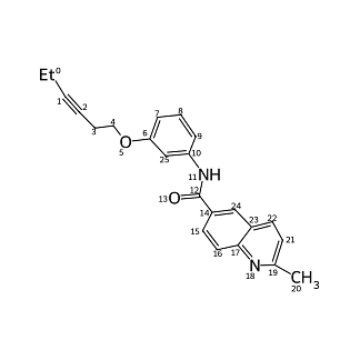 CCC#CCCOc1cccc(NC(=O)c2ccc3nc(C)ccc3c2)c1